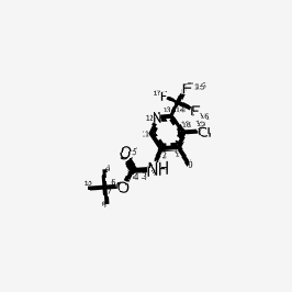 Cc1c(NC(=O)OC(C)(C)C)cnc(C(F)(F)F)c1Cl